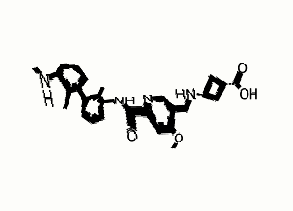 CNc1cccc(-c2cccc(NC(=O)c3cc(OC)c(CN[C@H]4C[C@@H](C(=O)O)C4)cn3)c2C)c1C